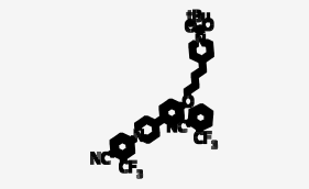 CC(C)(C)OC(=O)N1CCC(CCCCOc2ccc(C3CCN(c4ccc(C#N)c(C(F)(F)F)c4)CC3)cc2)CC1.N#Cc1ccccc1C(F)(F)F